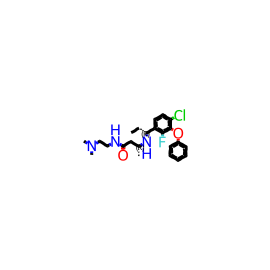 CC[C@@H](N[C@H](C)CC(=O)NCCN(C)C)c1ccc(Cl)c(Oc2ccccc2)c1F